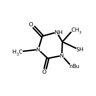 CCCCN1C(=O)N(C)C(=O)NC1(C)S